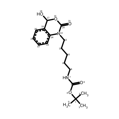 CC(C)(C)OC(=O)NCCCCCN1C(=O)OC(O)c2ccccc21